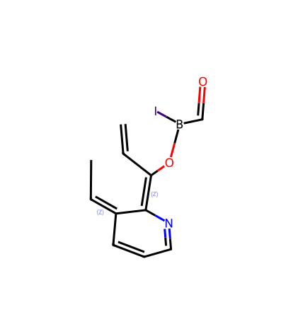 C=C/C(OB(I)C=O)=c1/nccc/c1=C/C